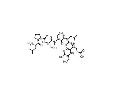 CC(C)C[C@H](NC(=O)[C@H](CS)NC(=O)[C@H](CO)NC(=O)[C@@H]1CCCN1C(=O)[C@@H](N)CC(C)C)C(=O)N[C@@H](CCC(=O)O)C(=O)N[C@@H](CO)C(=O)O